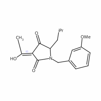 COc1cccc(CN2C(=O)/C(=C(/C)O)C(=O)C2CC(C)C)c1